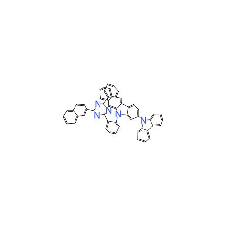 c1ccc(-c2nc(-c3ccc4ccccc4c3)nc(-c3ccccc3-n3c4cc(-n5c6ccccc6c6ccccc65)ccc4c4cc5ccccc5cc43)n2)cc1